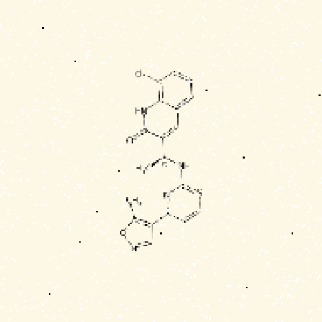 Cc1oncc1-c1ccnc(N[C@@H](C)c2cc3cccc(Cl)c3[nH]c2=O)n1